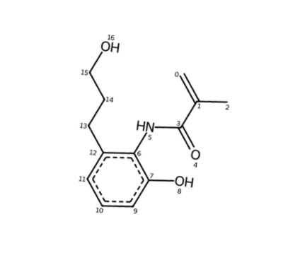 C=C(C)C(=O)Nc1c(O)cccc1CCCO